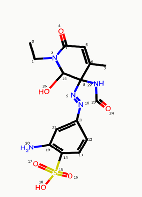 CCN1C(=O)C=C(C)C(N=Nc2ccc(S(=O)(=O)O)c(N)c2)(NC=O)C1O